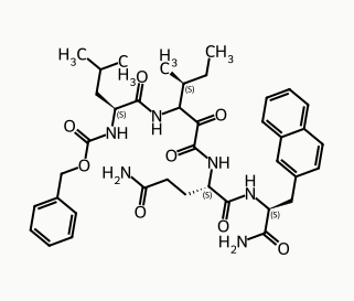 CC[C@H](C)C(NC(=O)[C@H](CC(C)C)NC(=O)OCc1ccccc1)C(=O)C(=O)N[C@@H](CCC(N)=O)C(=O)N[C@@H](Cc1ccc2ccccc2c1)C(N)=O